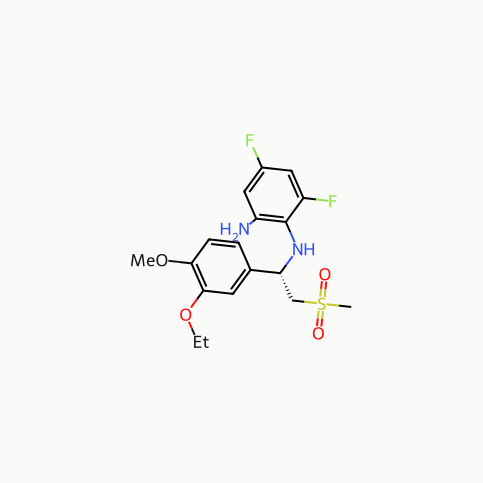 CCOc1cc([C@@H](CS(C)(=O)=O)Nc2c(N)cc(F)cc2F)ccc1OC